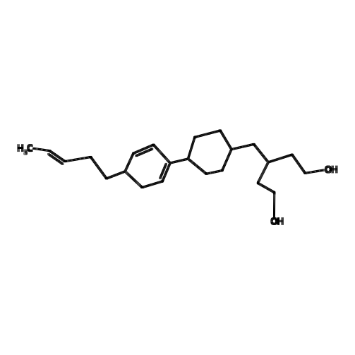 C/C=C/CCC1C=CC(C2CCC(CC(CCO)CCO)CC2)=CC1